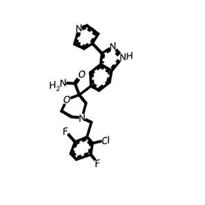 NC(=O)C1(c2ccc3[nH]nc(-c4ccncc4)c3c2)CN(Cc2c(F)ccc(F)c2Cl)CCO1